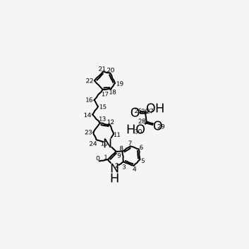 Cc1[nH]c2ccccc2c1N1CC=C(CCCc2ccccc2)CC1.O=C(O)C(=O)O